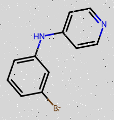 Brc1cccc(Nc2ccncc2)c1